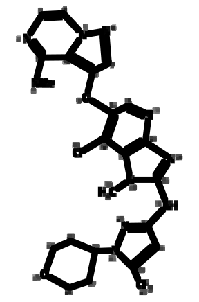 CNc1nccn2ncc(Oc3cnc4nc(Nc5cc(C(F)(F)F)n(C6CCOCC6)n5)n(C)c4c3Cl)c12